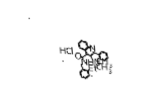 CCc1ccccc1CNC(=O)c1c(CN(C)C)c(-c2ccccc2)nc2ccccc12.Cl